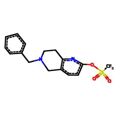 O=S(=O)(Oc1ccc2c(n1)CCN(Cc1ccccc1)C2)C(F)(F)F